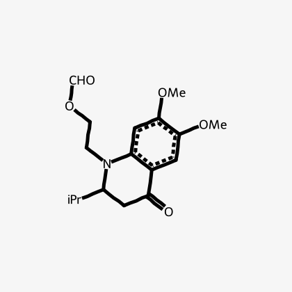 COc1cc2c(cc1OC)N(CCOC=O)C(C(C)C)CC2=O